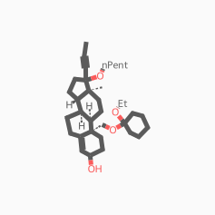 CC#CC1(OCCCCC)CC[C@H]2[C@@H]3CCC4=CC(O)CC[C@]4(COC4(OCC)CCCCC4)[C@@H]3CC[C@@]21C